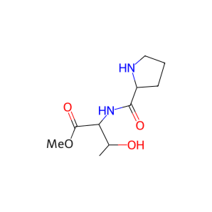 COC(=O)C(NC(=O)C1CCCN1)C(C)O